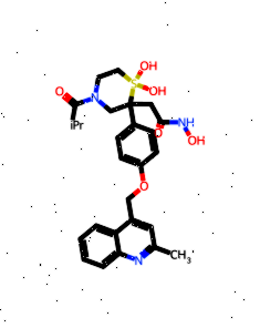 Cc1cc(COc2ccc(C3(CC(=O)NO)CN(C(=O)C(C)C)CCS3(O)O)cc2)c2ccccc2n1